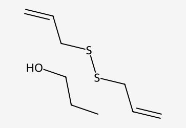 C=CCSSCC=C.CCCO